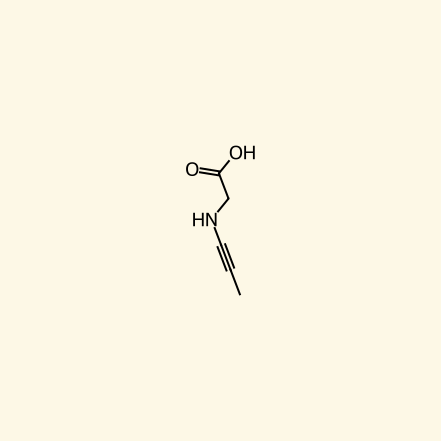 CC#CNCC(=O)O